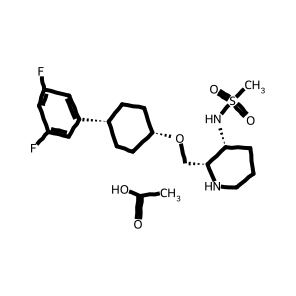 CC(=O)O.CS(=O)(=O)N[C@@H]1CCCN[C@@H]1CO[C@H]1CC[C@@H](c2cc(F)cc(F)c2)CC1